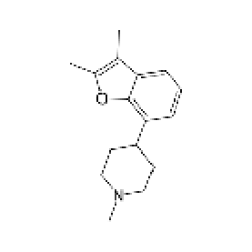 Cc1oc2c(C3CCN(C)CC3)cccc2c1C